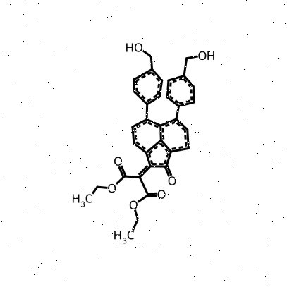 CCOC(=O)C(C(=O)OCC)=c1c(=O)c2ccc(-c3ccc(CO)cc3)c3c(-c4ccc(CO)cc4)ccc1c32